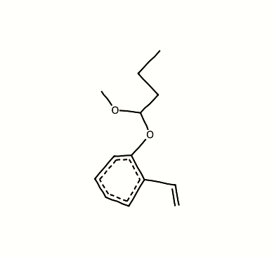 C=Cc1ccccc1OC(CCC)OC